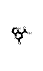 O=C(O)c1cc(Cl)nc2cc[nH]c12